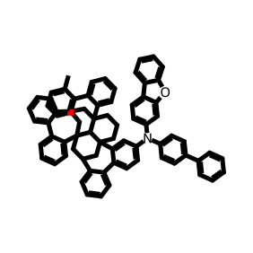 Cc1ccccc1-c1ccccc1C12CCCC34CC(CC5(CC(C1)c1ccccc1-c1ccccc15)C23)c1ccccc1-c1ccc(N(c2ccc(-c3ccccc3)cc2)c2ccc3c(c2)oc2ccccc23)cc14